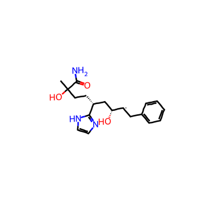 CC(O)(CC[C@H](C[C@@H](O)[CH]Cc1ccccc1)c1ncc[nH]1)C(N)=O